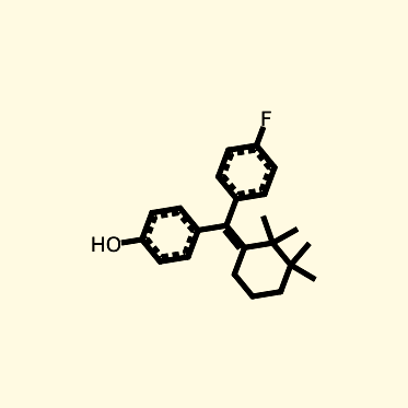 CC1(C)CCCC(=C(c2ccc(O)cc2)c2ccc(F)cc2)C1(C)C